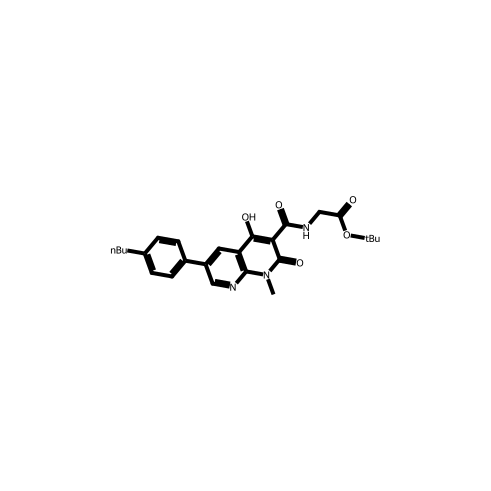 CCCCc1ccc(-c2cnc3c(c2)c(O)c(C(=O)NCC(=O)OC(C)(C)C)c(=O)n3C)cc1